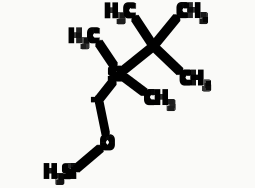 CC(C)(C)[Si](C)(C)[CH]O[SiH3]